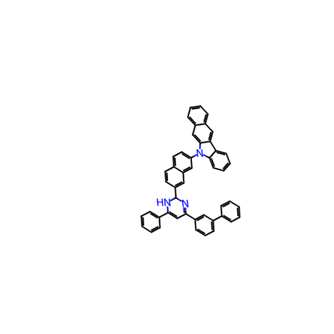 C1=C(c2ccccc2)NC(c2ccc3ccc(-n4c5ccccc5c5cc6ccccc6cc54)cc3c2)N=C1c1cccc(-c2ccccc2)c1